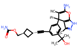 Cc1n[nH]c2c1C(c1cc(C#C[C@H]3C[C@H](COC(N)=O)C3)cc(C(C)(C)O)c1)(C(C)C)C(C#N)=C(N)O2